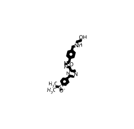 CC(C)[S+]([O-])c1ccc(-c2cncc(-c3nnc(-c4ccc(CNCCO)cc4)o3)n2)cc1